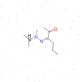 CCCC(=NN(C)[SiH](C)C)C(C)=O